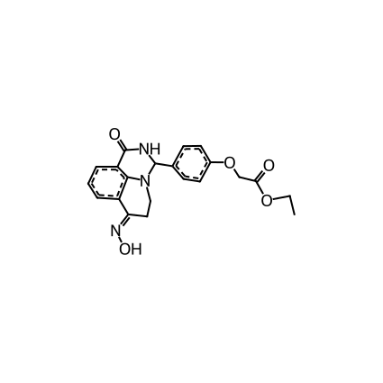 CCOC(=O)COc1ccc(C2NC(=O)c3cccc4c3N2CC/C4=N\O)cc1